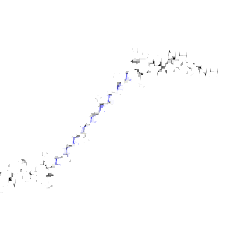 CCCCCC(N)C(=O)OC1CC(C)=C(/C=C/C(C)=C/C=C/C(C)=C/C=C/C=C(C)/C=C/C=C(C)/C=C/C2=C(C)CC(OC(=O)C(N)CCCCN)CC2(C)C)C(C)(C)C1